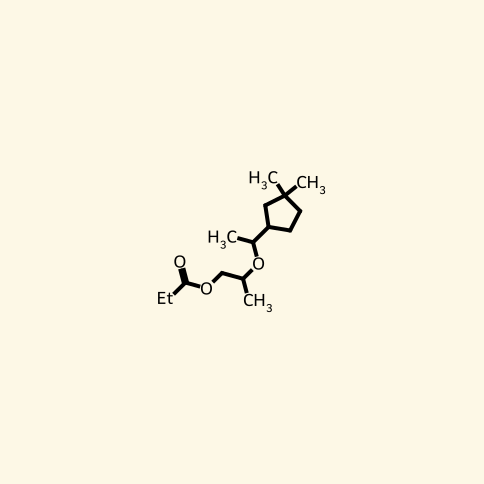 CCC(=O)OCC(C)OC(C)C1CCC(C)(C)C1